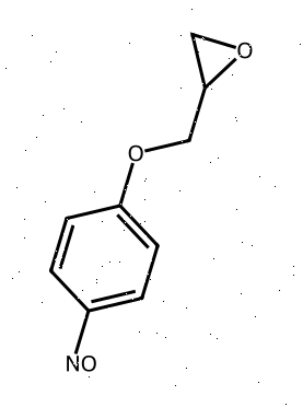 O=Nc1ccc(OCC2CO2)cc1